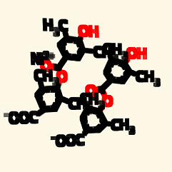 Cc1cc(C(=O)Oc2c(C)cc(C(=O)[O-])cc2C)cc(C)c1O.Cc1cc(C(=O)Oc2c(C)cc(C(=O)[O-])cc2C)cc(C)c1O.[Ni+2]